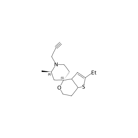 C#CCN1CC[C@@]2(C[C@H]1C)OCCC1SC(CC)=CC12